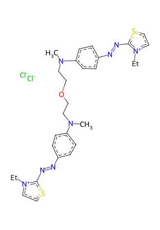 CC[n+]1ccsc1/N=N/c1ccc(N(C)CCOCCN(C)c2ccc(/N=N/c3scc[n+]3CC)cc2)cc1.[Cl-].[Cl-]